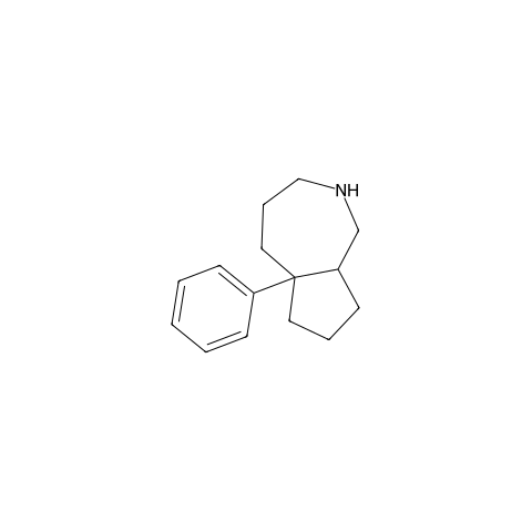 c1ccc(C23CCCNCC2CCC3)cc1